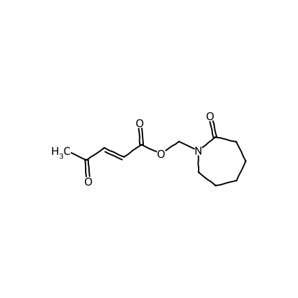 CC(=O)C=CC(=O)OCN1CCCCCC1=O